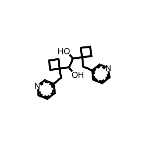 OC(C(O)C1(Cc2cccnc2)CCC1)C1(Cc2cccnc2)CCC1